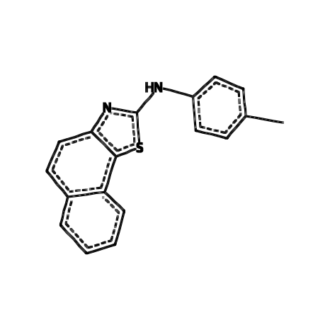 Cc1ccc(Nc2nc3ccc4ccccc4c3s2)cc1